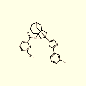 Cc1cccc(C(=O)NC23CCCC4CC2CC(c2nnc(-c5cccc(Cl)c5)o2)(C4)C3)n1